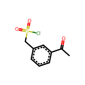 CC(=O)c1cccc(CS(=O)(=O)Cl)c1